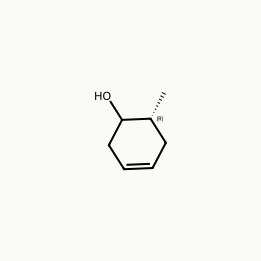 C[C@@H]1CC=CCC1O